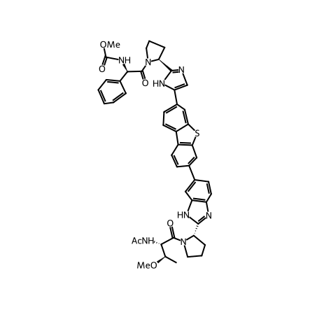 COC(=O)N[C@@H](C(=O)N1CCC[C@H]1c1ncc(-c2ccc3c(c2)sc2cc(-c4ccc5nc([C@@H]6CCCN6C(=O)[C@@H](NC(C)=O)[C@@H](C)OC)[nH]c5c4)ccc23)[nH]1)c1ccccc1